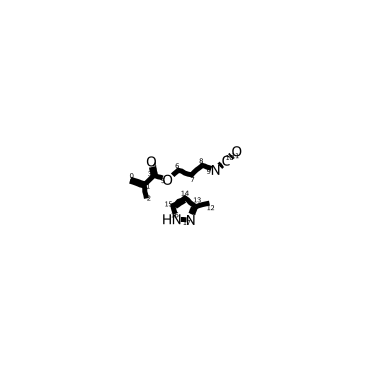 C=C(C)C(=O)OCCCN=C=O.Cc1cc[nH]n1